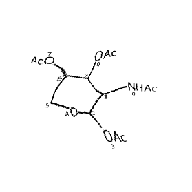 CC(=O)NC1C(OC(C)=O)OCC(OC(C)=O)C1OC(C)=O